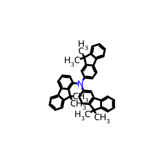 CC1(C)C2=C(C=C(N(c3ccc4c(c3)C(C)(C)c3ccccc3-4)c3cccc4c3C(C)(C)c3ccccc3-4)CC2)c2ccccc21